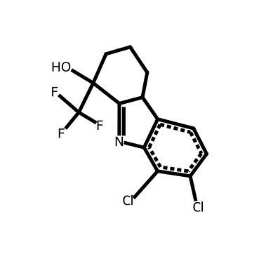 OC1(C(F)(F)F)CCCC2C1=Nc1c2ccc(Cl)c1Cl